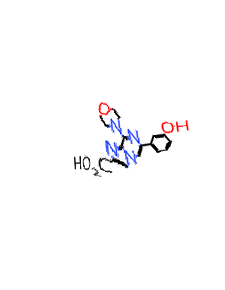 O=C(O)c1cn2cc(-c3cccc(O)c3)nc(N3CCOCC3)c2n1